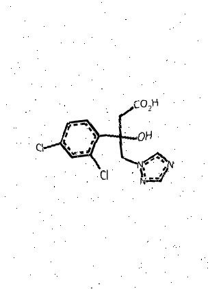 O=C(O)CC(O)(Cn1cncn1)c1ccc(Cl)cc1Cl